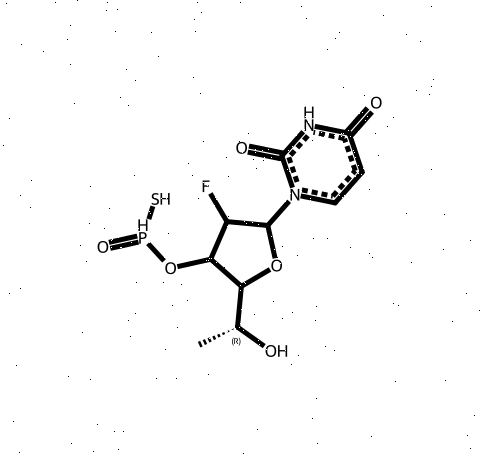 C[C@@H](O)C1OC(n2ccc(=O)[nH]c2=O)C(F)C1O[PH](=O)S